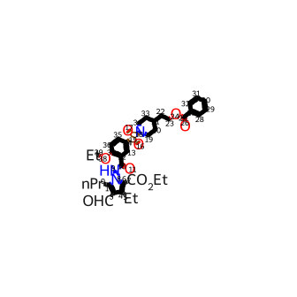 CCCc1c(C=O)c(CC)c(C(=O)OCC)n1NC(=O)c1cc(S(=O)(=O)N2CCC(CCOC(=O)c3ccccc3)CC2)ccc1OCC